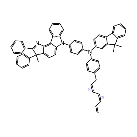 C=C/C=C\C=C/Cc1ccc(N(c2ccc(-n3c4ccccc4c4c5c(ccc43)C(C)(c3ccccc3)C(c3ccccc3)=N5)cc2)c2ccc3c(c2)C(C)(C)c2ccccc2-3)cc1